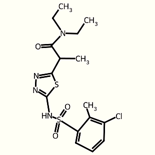 CCN(CC)C(=O)C(C)c1nnc(NS(=O)(=O)c2cccc(Cl)c2C)s1